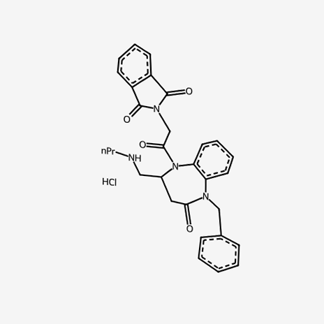 CCCNCC1CC(=O)N(Cc2ccccc2)c2ccccc2N1C(=O)CN1C(=O)c2ccccc2C1=O.Cl